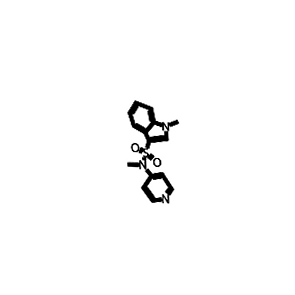 CN(c1ccncc1)S(=O)(=O)c1cn(C)c2ccccc12